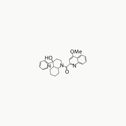 COc1cc(C(=O)N2CC[C@@](O)(c3ccccc3)[C@@H]3CCCCC32)nc2ccccc12